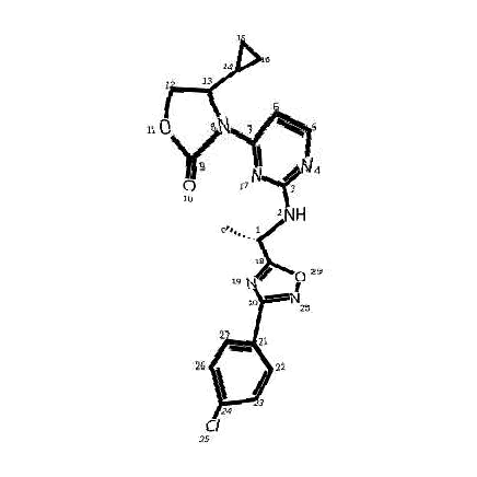 C[C@H](Nc1nccc(N2C(=O)OCC2C2CC2)n1)c1nc(-c2ccc(Cl)cc2)no1